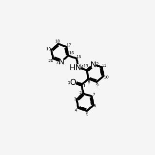 O=C(c1ccccc1)c1cccnc1NCc1ccccn1